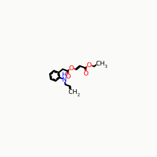 C=CCNc1ccccc1CC(=O)OC=CC(=O)OCC